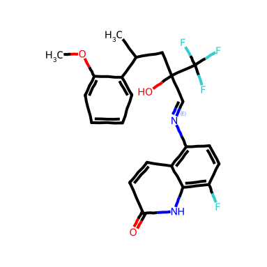 COc1ccccc1C(C)CC(O)(/C=N/c1ccc(F)c2[nH]c(=O)ccc12)C(F)(F)F